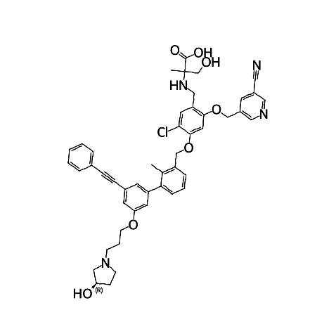 Cc1c(COc2cc(OCc3cncc(C#N)c3)c(CNC(C)(CO)C(=O)O)cc2Cl)cccc1-c1cc(C#Cc2ccccc2)cc(OCCCN2CC[C@@H](O)C2)c1